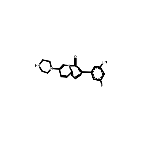 N#Cc1cc(F)cc(C2=C\C(=O)N3C=C(N4CCNCC4)C=C\C3=C/C=C/2)c1